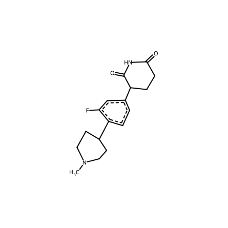 CN1CCC(c2ccc(C3CCC(=O)NC3=O)cc2F)CC1